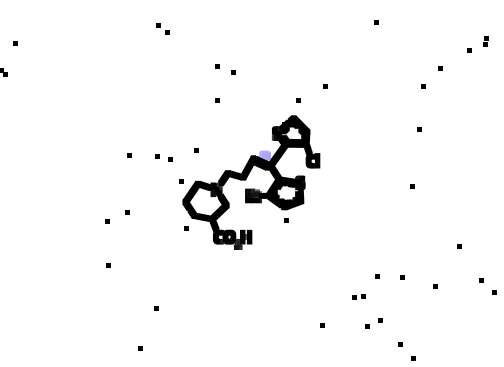 CCc1ccsc1/C(=C\CCN1CCCC(C(=O)O)C1)c1sccc1Cl